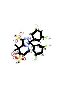 CC1(C)C2=C(S(C)(=O)=O)NC(c3cc(F)cc(F)c3)(c3cc(F)cc(F)c3)N2C=CC1(Br)S(C)(=O)=O